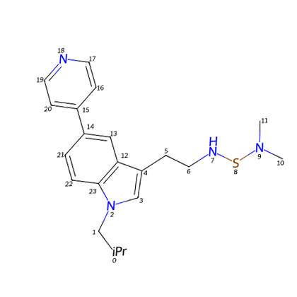 CC(C)Cn1cc(CCNSN(C)C)c2cc(-c3ccncc3)ccc21